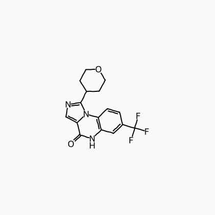 O=c1[nH]c2cc(C(F)(F)F)ccc2n2c(C3CCOCC3)ncc12